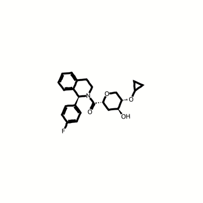 O=C([C@H]1C[C@H](O)[C@@H](OC2CC2)CO1)N1CCc2ccccc2[C@@H]1c1ccc(F)cc1